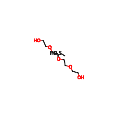 CS(=O)(=O)O.OCCOCCOCCOCCO